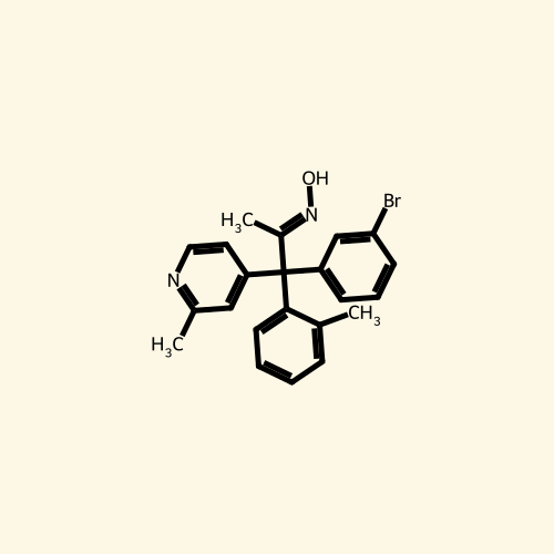 CC(=NO)C(c1cccc(Br)c1)(c1ccnc(C)c1)c1ccccc1C